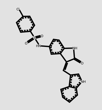 O=C1Nc2ccc(NS(=O)(=O)c3ccc(Cl)cc3)cc2C1=Cc1c[nH]c2ccccc12